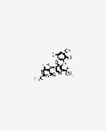 Cc1nc(C)c(Cn2cnc([C@H](C)F)c(Oc3cc(Cl)cc(C#N)c3Cl)c2=O)c(=O)[nH]1